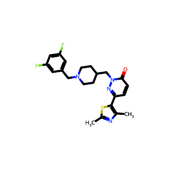 Cc1nc(C)c(-c2ccc(=O)n(CC3CCN(Cc4cc(F)cc(F)c4)CC3)n2)s1